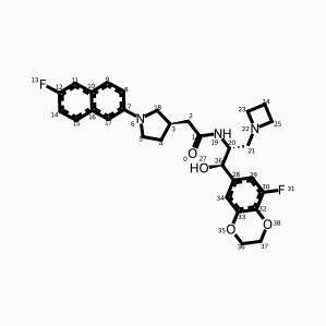 O=C(C[C@H]1CCN(c2ccc3cc(F)ccc3c2)C1)N[C@H](CN1CCC1)[C@H](O)c1cc(F)c2c(c1)OCCO2